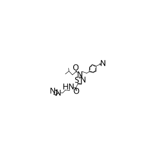 CC(C)CC(=O)N(CCc1ccc(C#N)cc1)c1ncc(C(=O)NCCCn2ccnc2)s1